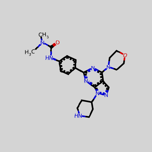 CN(C)C(=O)Nc1ccc(-c2nc(N3CCOCC3)c3cnn(C4CCNCC4)c3n2)cc1